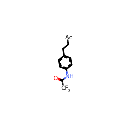 CC(=O)CCc1ccc(NC(=O)C(F)(F)F)cc1